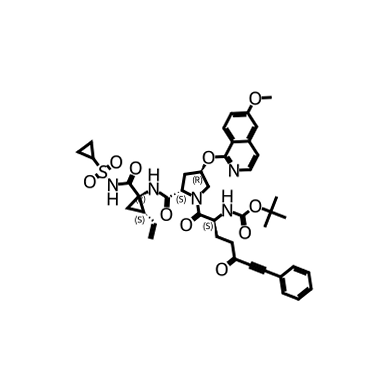 C=C[C@@H]1C[C@]1(NC(=O)[C@@H]1C[C@@H](Oc2nccc3cc(OC)ccc23)CN1C(=O)[C@H](CCC(=O)C#Cc1ccccc1)NC(=O)OC(C)(C)C)C(=O)NS(=O)(=O)C1CC1